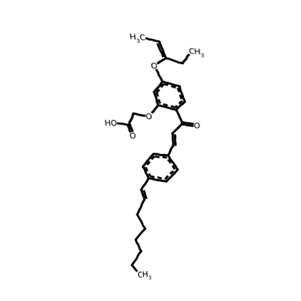 C/C=C(/CC)Oc1ccc(C(=O)/C=C/c2ccc(/C=C/CCCCCC)cc2)c(OCC(=O)O)c1